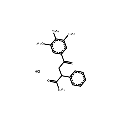 CNC(=O)C(CC(=O)c1cc(OC)c(OC)c(OC)c1)c1ccccc1.Cl